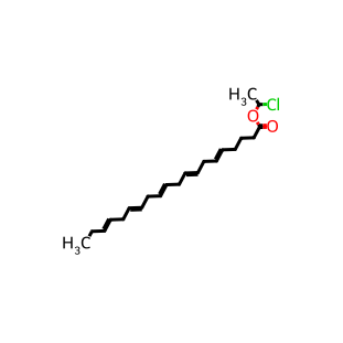 CCC=CCC=CCC=CCC=CCC=CCCCC(=O)OC(C)Cl